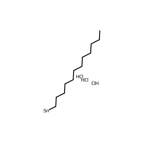 CCCCCCCCCCC[CH2][Sn].Cl.Cl.Cl